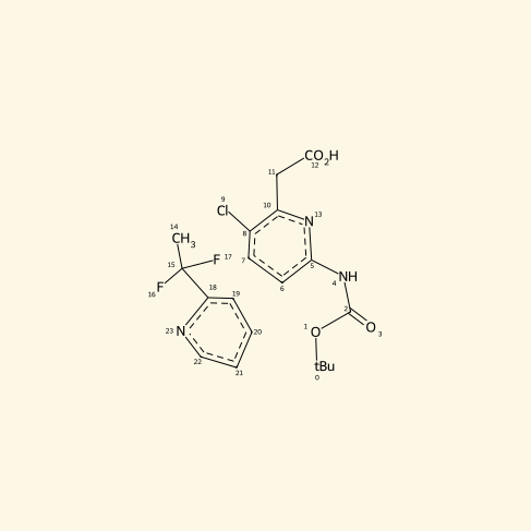 CC(C)(C)OC(=O)Nc1ccc(Cl)c(CC(=O)O)n1.CC(F)(F)c1ccccn1